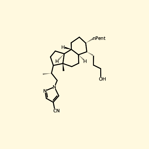 CCCCC[C@H]1CC[C@@H]2[C@H](CC[C@]3(C)C([C@@H](C)Cn4cc(C#N)cn4)CC[C@@H]23)[C@H]1CCCO